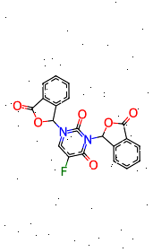 O=C1OC(n2cc(F)c(=O)n(C3OC(=O)c4ccccc43)c2=O)c2ccccc21